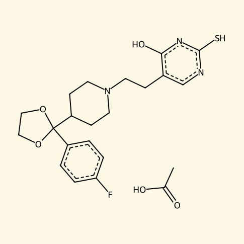 CC(=O)O.Oc1nc(S)ncc1CCN1CCC(C2(c3ccc(F)cc3)OCCO2)CC1